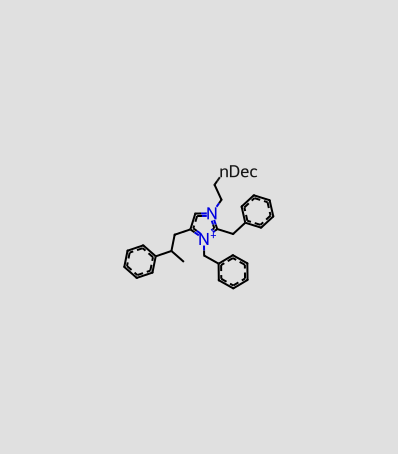 CCCCCCCCCCCCn1cc(CC(C)c2ccccc2)[n+](Cc2ccccc2)c1Cc1ccccc1